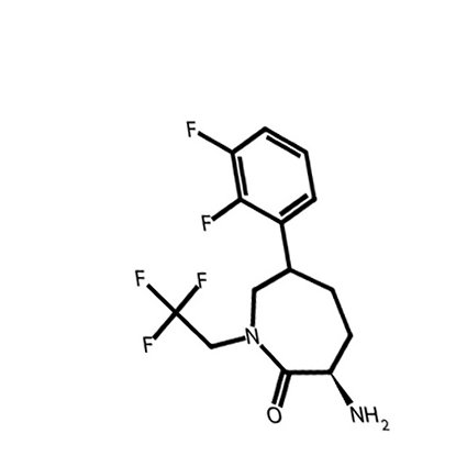 N[C@@H]1CCC(c2cccc(F)c2F)CN(CC(F)(F)F)C1=O